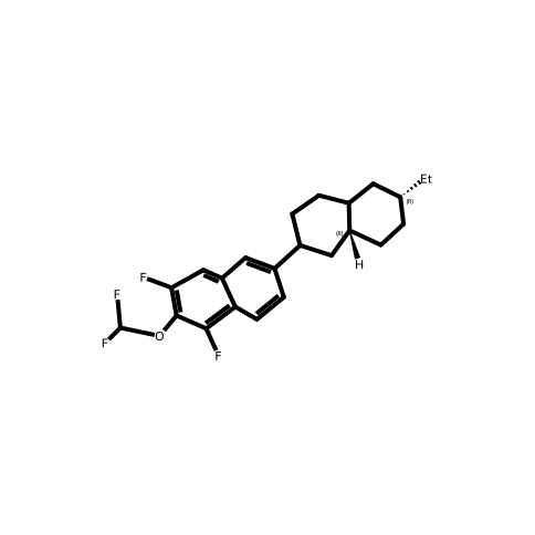 CC[C@@H]1CC[C@@H]2CC(c3ccc4c(F)c(OC(F)F)c(F)cc4c3)CCC2C1